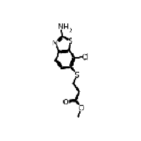 COC(=O)CCSc1ccc2nc(N)sc2c1Cl